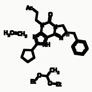 C=C.CC(=O)CCN1C(=O)N2C[C@@H](Cc3ccccc3)N=C2c2[nH]c(C3CCCC3)nc21.CCOC(C)OCC